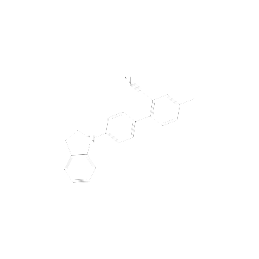 Cc1ccc(-c2ccc(N3CCc4ccccc43)cc2)c(C#N)c1